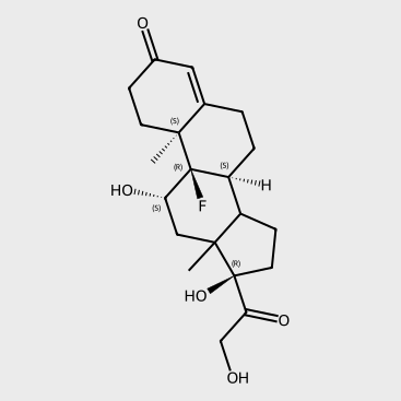 CC12C[C@H](O)[C@@]3(F)[C@@H](CCC4=CC(=O)CC[C@@]43C)C1CC[C@]2(O)C(=O)CO